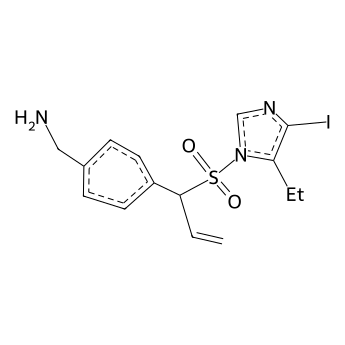 C=CC(c1ccc(CN)cc1)S(=O)(=O)n1cnc(I)c1CC